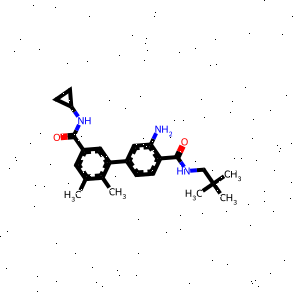 Cc1cc(C(=O)NC2CC2)cc(-c2ccc(C(=O)NCC(C)(C)C)c(N)c2)c1C